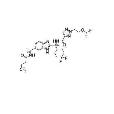 C[C@@H](NC(=O)CCC(F)(F)F)c1ccc2nc([C@@H](NC(=O)c3cnn(CCOC(F)F)n3)C3CCC(F)(F)CC3)[nH]c2c1